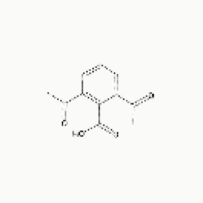 CC(=O)c1cccc(C(C)=O)c1C(=O)O